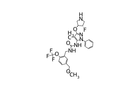 COCc1ccc(OC(F)(F)F)c(CNC(=O)Nc2c(C)c(O[C@H]3CNC[C@@H]3F)nn2-c2ccccc2)c1